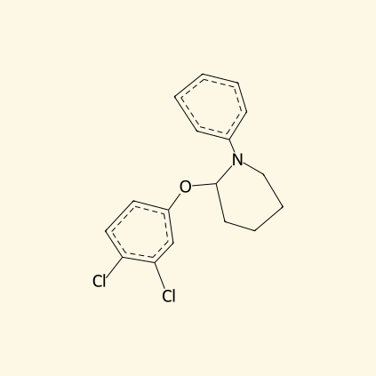 Clc1ccc(OC2CCCCN2c2ccccc2)cc1Cl